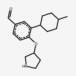 CC1CCC(c2cc(C=O)ccc2OC2CCNC2)CC1